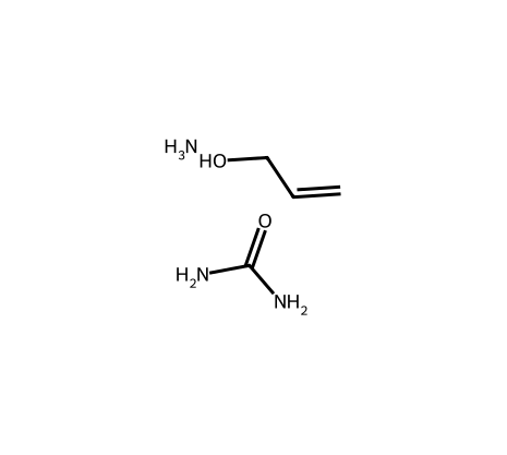 C=CCO.N.NC(N)=O